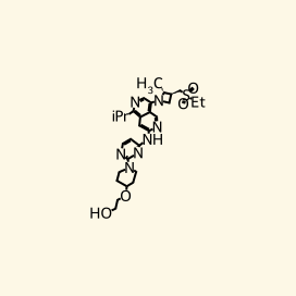 CCS(=O)(=O)C[C@H]1CN(c2cnc(C(C)C)c3cc(Nc4ccnc(N5CCC(OCCO)CC5)n4)ncc23)[C@@H]1C